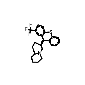 FC(F)(F)c1ccc2c(c1)/C(=C1\CCC3CCCCN3C1)c1ccccc1S2